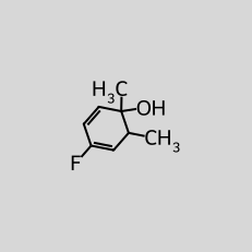 CC1C=C(F)C=CC1(C)O